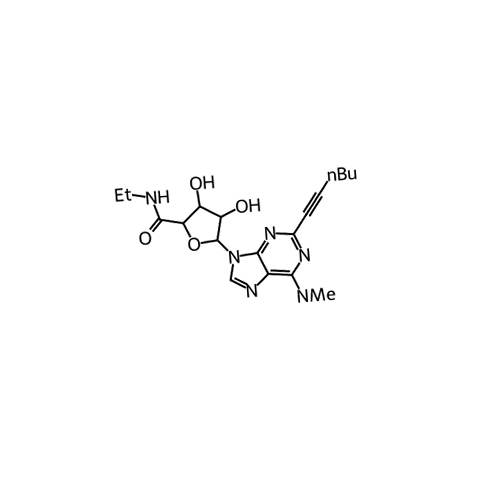 CCCCC#Cc1nc(NC)c2ncn(C3OC(C(=O)NCC)C(O)C3O)c2n1